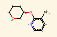 O=[N+]([O-])c1cccnc1O[C@@H]1CCCOC1